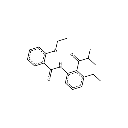 CCOc1ccccc1C(=O)Nc1cccc(CC)c1C(=O)C(C)C